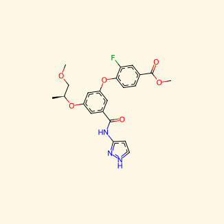 COC[C@H](C)Oc1cc(Oc2ccc(C(=O)OC)cc2F)cc(C(=O)Nc2cc[nH]n2)c1